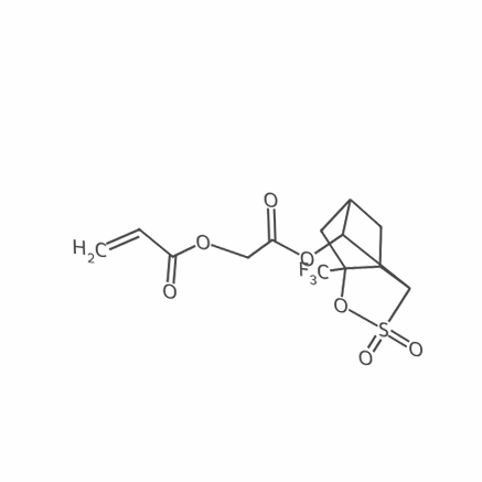 C=CC(=O)OCC(=O)OC1C2CC3C1S(=O)(=O)OC3(C(F)(F)F)C2